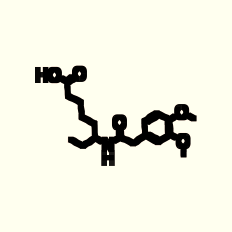 CCC(CCCCC(=O)O)NC(=O)Cc1ccc(OC)c(OC)c1